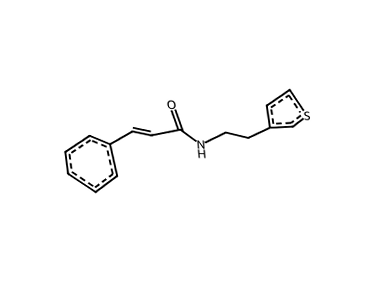 O=C(C=Cc1ccccc1)NCCc1ccsc1